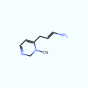 N#CN1CN=CC=C1CC=CN